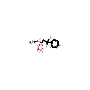 C[O][Ti]([CH2]C(C)(C)c1ccccc1)([O]C)[O]C